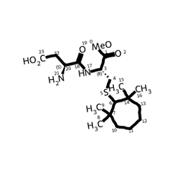 COC(=O)[C@H](CSC1C(C)(C)CCCCC1(C)C)NC(=O)[C@@H](N)CC(=O)O